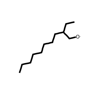 CCCCCCCCC(CC)C[O]